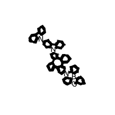 c1ccc2c(c1)Oc1cccc3c1B2c1ccccc1N3c1ccc2c(c1)-c1ccccc1-c1cc(-n3c4ccccc4c4cc(-n5c6ccccc6c6ccccc65)ccc43)ccc1-c1ccccc1-2